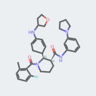 Cc1cccc(F)c1C(=O)N1CCC[C@H](C(=O)Nc2cccc(N3CCCC3)c2)[C@@H]1C1C=CC(NC2CCOC2)=CC1